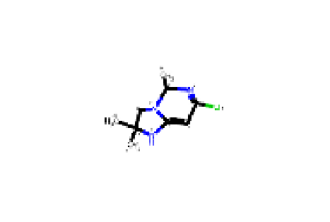 CC1N=C(Cl)C=C2NC(C)(C)CN21